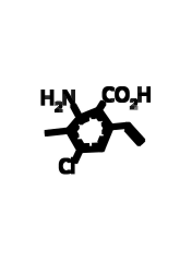 C=Cc1cc(Cl)c(C)c(N)c1C(=O)O